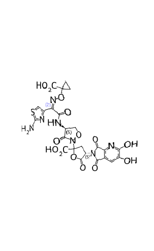 Nc1nc(/C(=N/OC2(C(=O)O)CC2)C(=O)N[C@H]2CON(C3(C(=O)O)C[C@H](N4C(=O)c5cc(O)c(O)nc5C4=O)C(=O)O3)C2=O)cs1